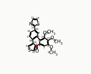 COc1cc(C=O)c(-c2cc(-c3nccs3)ccc2-c2ccsc2)c(OC)c1OC